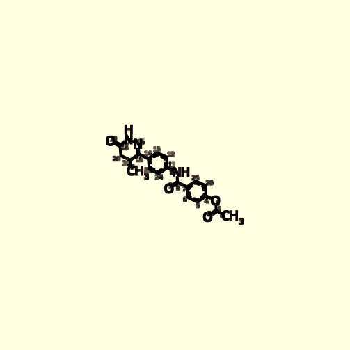 CC(=O)Oc1ccc(C(=O)Nc2ccc(C3=NNC(=O)CC3C)cc2)cc1